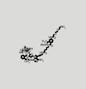 CSSC(C)c1cc(NC(=O)COCCOCCN)ccc1C(=O)OCCCCC(=O)NCC#Cc1cn([C@H]2CC(OC(=O)c3ccccc3C(C)SSC)[C@@H](COP(=O)(O)OP(=O)(O)OP(=O)(O)O)O2)c2ncnc(N)c12